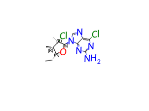 CC[C@H]1O[C@H](n2cnc3c(Cl)nc(N)nc32)[C@](C)(Cl)[C@@H]1C